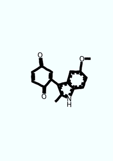 COc1ccc2[nH]c(C)c(C3=CC(=O)C=CC3=O)c2c1